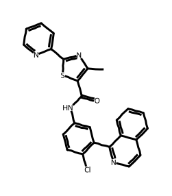 Cc1nc(-c2ccccn2)sc1C(=O)Nc1ccc(Cl)c(-c2nccc3ccccc23)c1